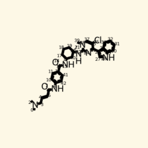 CN(C)C/C=C/C(=O)Nc1ccc(C(=O)N[C@H]2CCC[C@@](C)(NC3N=C(c4c[nH]c5ccccc45)C(Cl)=CN3C)C2)cc1